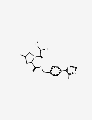 CCNC(C(=O)N1CC(O)CC1C(=O)NCc1ccc(-c2scnc2C)cc1)C(C)(C)C